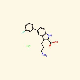 Cl.NCCCc1c(C(=O)O)[nH]c2ccc(-c3cccc(F)c3)cc12